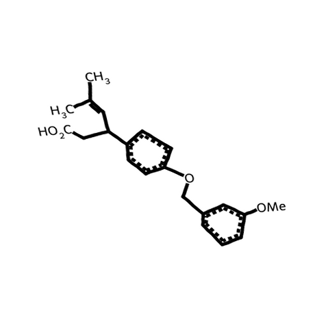 COc1cccc(COc2ccc(C(C=C(C)C)CC(=O)O)cc2)c1